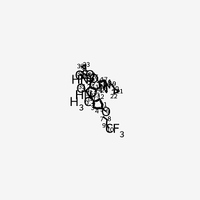 C[C@@]1(c2ccc(OCCCC(F)(F)F)cc2)CC(c2ccn(CC3CC3)n2)=C(C(=O)NS(=O)(=O)C2CC2)C(=O)N1